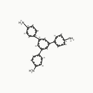 Nc1ccc(-c2cc(-c3ccc(N)cc3)cc(-c3ccc(N)cc3)c2)cc1